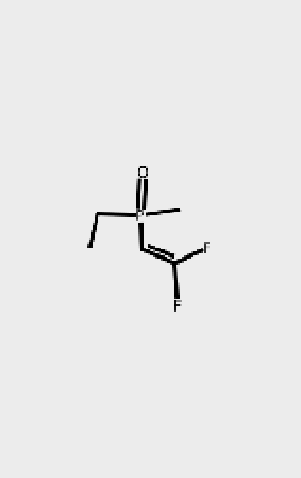 CCP(C)(=O)C=C(F)F